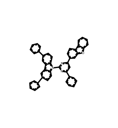 c1ccc(-c2ccc3c(c2)c2cc(-c4ccccc4)ccc2n3-c2nc(-c3ccccc3)cc(-c3ccc4c(c3)oc3ccccc34)n2)cc1